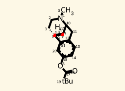 CN1CC[C@@]23CCCC[C@@H]2C1Cc1ccc(OC(=O)C(C)(C)C)cc13